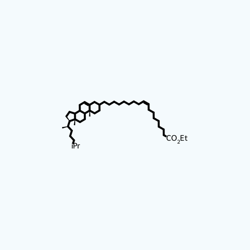 CCOC(=O)CCCCCCC/C=C\CCCCCCCCC1CC[C@@]2(C)C(=CCC3C2CC[C@@]2(C)C3CC[C@@H]2[C@H](C)CCCC(C)C)C1